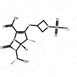 C[C@@H](O)[C@H]1C(=O)N2C(C(=O)O)=C(SC3CN(S(N)(=O)=O)C3)[C@H](C)[C@H]12